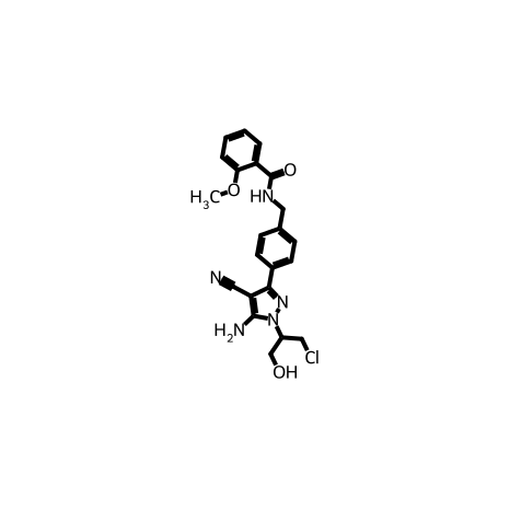 COc1ccccc1C(=O)NCc1ccc(-c2nn(C(CO)CCl)c(N)c2C#N)cc1